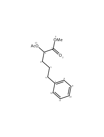 COC(=O)C(CCCc1ccccc1)OC(C)=O